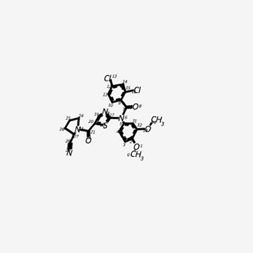 COc1ccc(N(C(=O)c2ccc(Cl)cc2Cl)c2ncc(C(=O)N3CCCC3C#N)s2)cc1OC